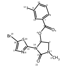 CN1CC(OC(=O)c2cccc(I)c2)N(c2ncc(Br)s2)C1=O